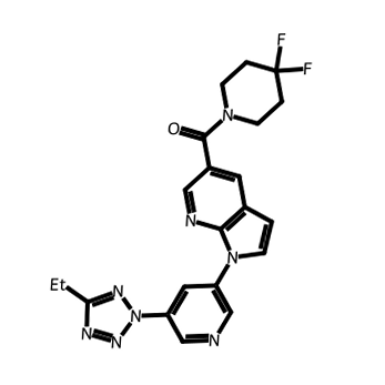 CCc1nnn(-c2cncc(-n3ccc4cc(C(=O)N5CCC(F)(F)CC5)cnc43)c2)n1